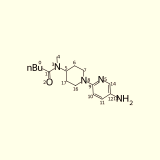 CCCCC(=O)N(C)C1CCN(c2ccc(N)cn2)CC1